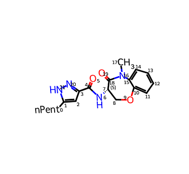 CCCCCc1cc(C(=O)N[C@H]2COc3ccccc3N(C)C2=O)n[nH]1